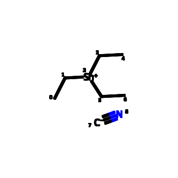 C[CH2][Sn+]([CH2]C)[CH2]C.[C-]#N